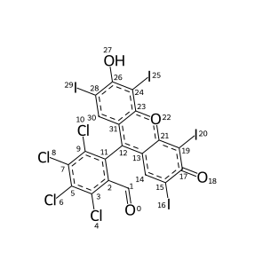 O=Cc1c(Cl)c(Cl)c(Cl)c(Cl)c1-c1c2cc(I)c(=O)c(I)c-2oc2c(I)c(O)c(I)cc12